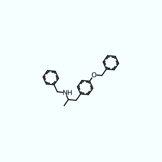 CC(Cc1ccc(OCc2ccccc2)cc1)NCc1ccccc1